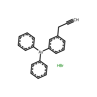 Br.C#CCc1cccc([As](c2ccccc2)c2ccccc2)c1